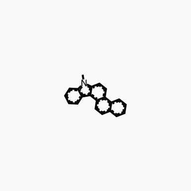 Cn1c2ccccc2c2c3ccc4ccccc4c3ccc21